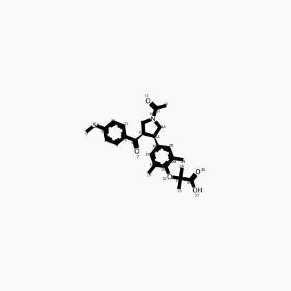 CSc1ccc(C(=O)[C@H]2CN(C(C)=O)C[C@H]2c2cc(C)c(OC(C)(C)C(=O)O)c(C)c2)cc1